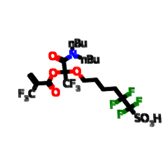 C=C(C(=O)OC(OCCCCC(F)(F)C(F)(F)S(=O)(=O)O)(C(=O)N(CCCC)CCCC)C(F)(F)F)C(F)(F)F